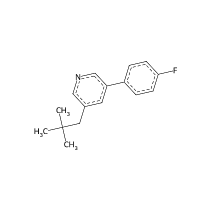 CC(C)(C)Cc1cncc(-c2ccc(F)cc2)c1